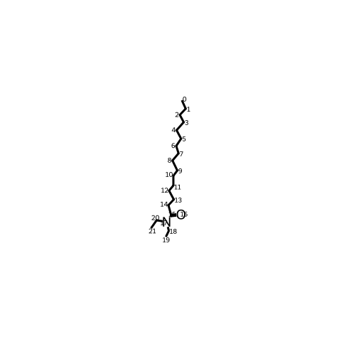 CCCCCCCCCCCCCCCC(=O)N(CC)CC